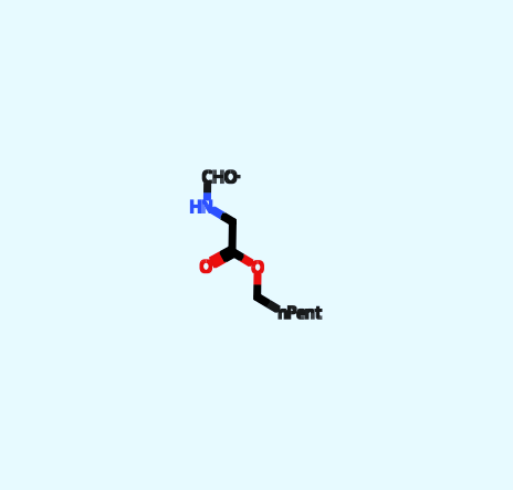 CCCCCCOC(=O)CN[C]=O